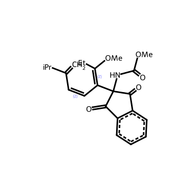 C=C(/C=C\C(=C(/CC)OC)C1(NC(=O)OC)C(=O)c2ccccc2C1=O)C(C)C